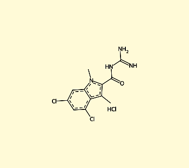 Cc1c(C(=O)NC(=N)N)n(C)c2cc(Cl)cc(Cl)c12.Cl